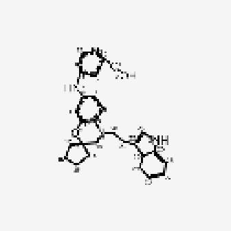 OCc1cc(Nc2ccc3c(c2)OC2(CCCC2)CN3CCC2=CNC3=CC=CCC23)ccn1